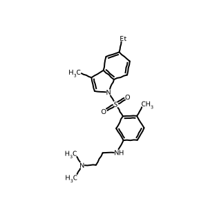 CCc1ccc2c(c1)c(C)cn2S(=O)(=O)c1cc(NCCN(C)C)ccc1C